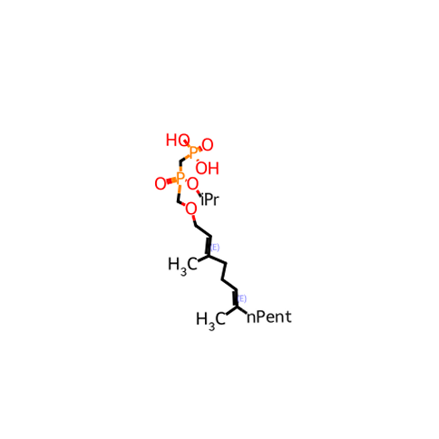 CCCCC/C(C)=C/CC/C(C)=C/COCP(=O)(CP(=O)(O)O)OC(C)C